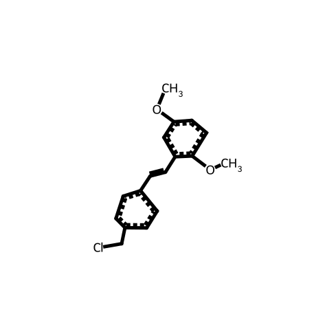 COc1ccc(OC)c(/C=C/c2ccc(CCl)cc2)c1